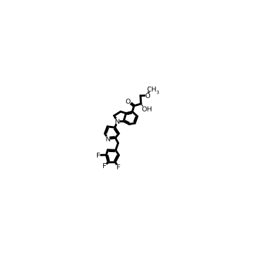 COC[C@H](O)C(=O)c1cccc2c1CCN2c1ccnc(Cc2cc(F)c(F)c(F)c2)c1